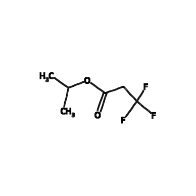 CC(C)OC(=O)CC(F)(F)F